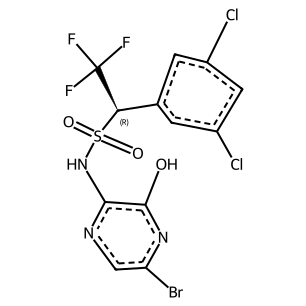 O=S(=O)(Nc1ncc(Br)nc1O)[C@H](c1cc(Cl)cc(Cl)c1)C(F)(F)F